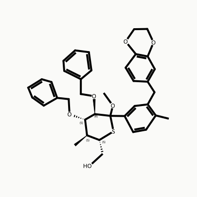 COC1(c2ccc(C)c(Cc3ccc4c(c3)OCCO4)c2)S[C@H](CO)[C@@H](C)[C@H](OCc2ccccc2)[C@H]1OCc1ccccc1